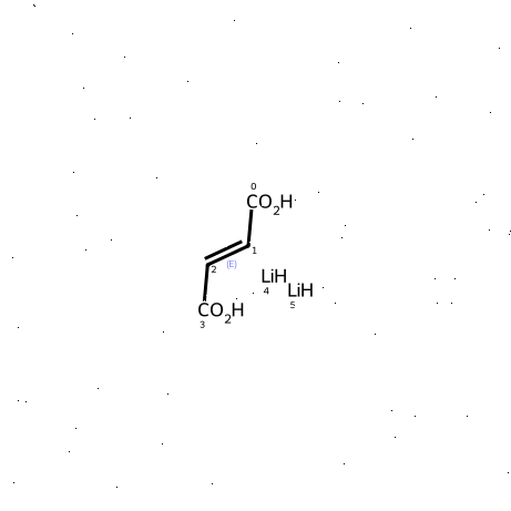 O=C(O)/C=C/C(=O)O.[LiH].[LiH]